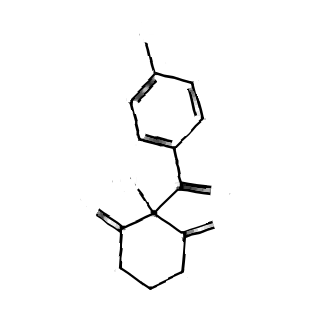 O=C1CCCC(=O)C1(C(=O)c1ccc(C(F)(F)F)cc1)[N+](=O)[O-]